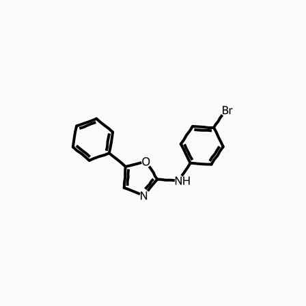 Brc1ccc(Nc2ncc(-c3ccccc3)o2)cc1